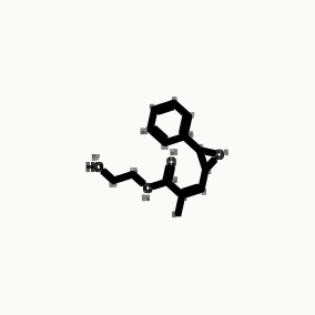 CC(=CC1OC1c1ccccc1)C(=O)OCCO